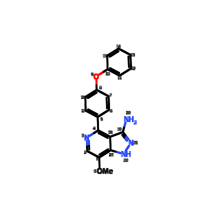 COc1cnc(-c2ccc(Oc3ccccc3)cc2)c2c(N)n[nH]c12